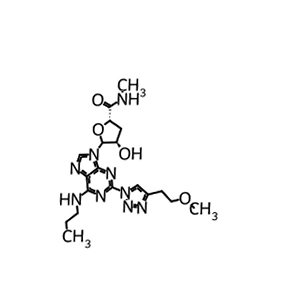 CCCNc1nc(-n2cc(CCOC)nn2)nc2c1ncn2C1O[C@H](C(=O)NC)C[C@H]1O